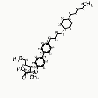 CCCCC[C@H]1CC[C@H](CCCCc2ccc(-c3ccc(O[C@](C)(CCCC)C(=O)O)cc3)cc2)CC1